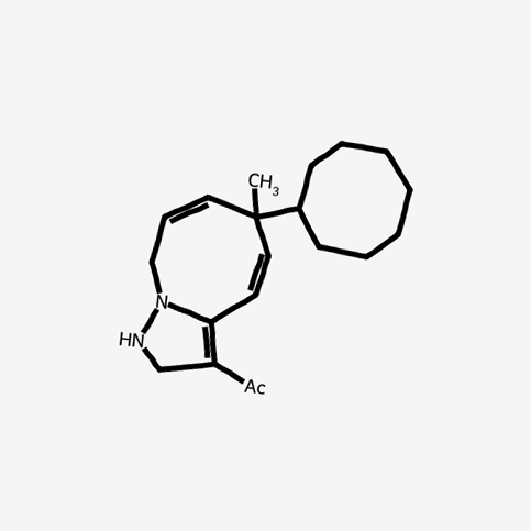 CC(=O)C1=C2/C=C\C(C)(C3CCCCCCC3)/C=C\CN2NC1